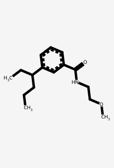 CCCC(CC)c1cccc(C(=O)NCCOC)c1